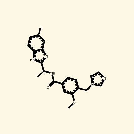 COc1cc(C(=O)N[C@@H](C)c2nc3cc(Cl)ccc3[nH]2)ccc1Cn1ccnc1